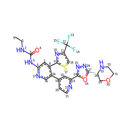 CCNC(=O)Nc1cc(-c2nc(C(F)(F)F)cs2)c(-c2ccnc(-c3nnc([C@H]4COCCN4)o3)c2)cn1